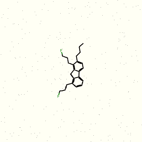 CCCCc1ccc2c(c1CCCF)Cc1c(CCCF)cccc1-2